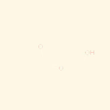 CCOC(=O)C(C)C.OC1CC1